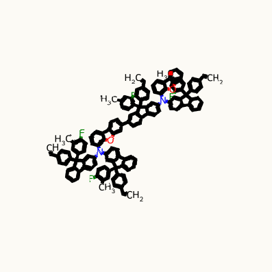 C=Cc1ccc(C2(c3ccc(F)c(C)c3)c3ccccc3-c3ccc(N(c4ccc5c(c4)C(c4ccc(C=C)cc4)(c4ccc(F)c(C)c4)c4ccccc4-5)c4cccc5c4oc4cc(-c6ccc7c(c6)C(c6ccc(C=C)cc6)(c6ccc(C)cc6F)c6cc(N(c8ccc9c(c8)C(c8ccc(C=C)cc8)(c8ccc(C)cc8F)c8ccccc8-9)c8cccc9c8oc8ccccc89)ccc6-7)ccc45)cc32)cc1